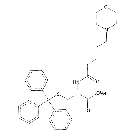 COC(=O)[C@H](CSC(c1ccccc1)(c1ccccc1)c1ccccc1)NC(=O)CCCCN1CCOCC1